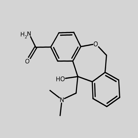 CN(C)CC1(O)c2ccccc2COc2ccc(C(N)=O)cc21